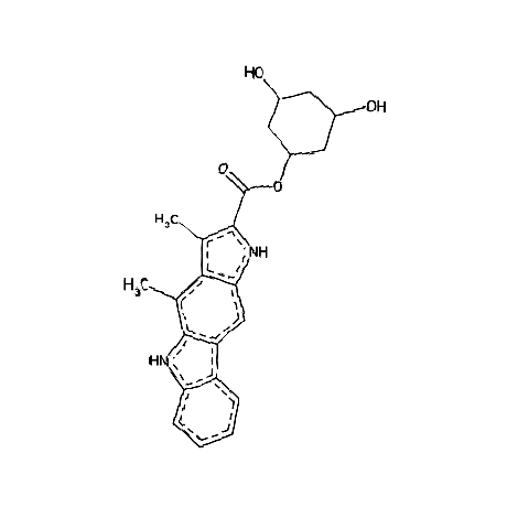 Cc1c(C(=O)OC2CC(O)CC(O)C2)[nH]c2cc3c([nH]c4ccccc43)c(C)c12